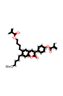 C=C(C)C(=O)OCCCCc1cc2cc(-c3ccc(OC(=O)C(=C)C)cc3)c(=O)oc2cc1CCCCOC